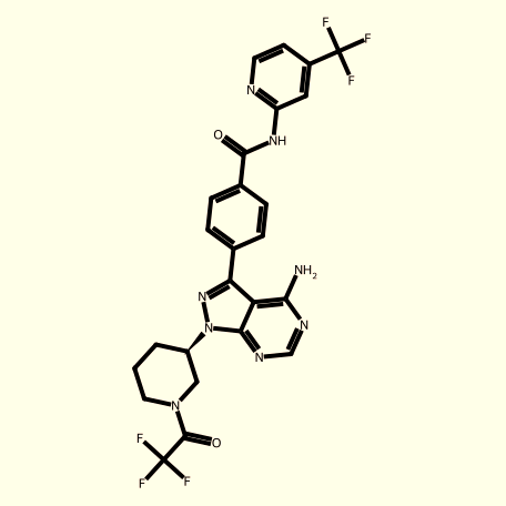 Nc1ncnc2c1c(-c1ccc(C(=O)Nc3cc(C(F)(F)F)ccn3)cc1)nn2[C@@H]1CCCN(C(=O)C(F)(F)F)C1